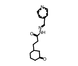 O=C1CCCC(CCC(=O)NN=Cc2ccncc2)C1